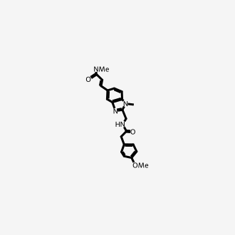 CNC(=O)/C=C/c1ccc2c(c1)nc(CNC(=O)Cc1ccc(OC)cc1)n2C